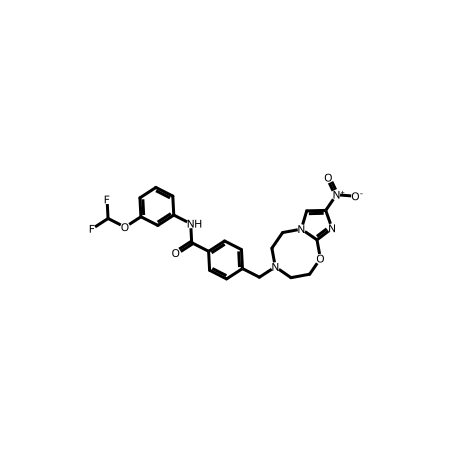 O=C(Nc1cccc(OC(F)F)c1)c1ccc(CN2CCOc3nc([N+](=O)[O-])cn3CC2)cc1